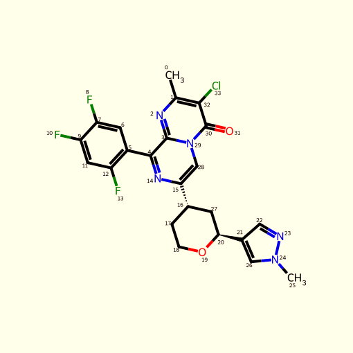 Cc1nc2c(-c3cc(F)c(F)cc3F)nc([C@H]3CCO[C@H](c4cnn(C)c4)C3)cn2c(=O)c1Cl